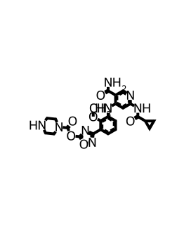 COc1c(Nc2cc(NC(=O)C3CC3)ncc2C(N)=O)cccc1-c1noc(OC(=O)N2CCNCC2)n1